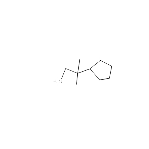 CC(C)(CN)C1CCCC1